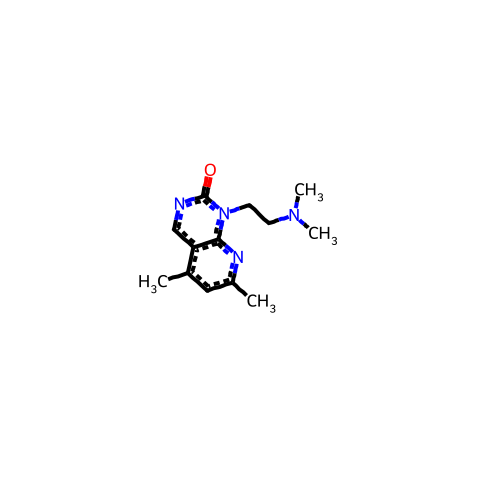 Cc1cc(C)c2cnc(=O)n(CCN(C)C)c2n1